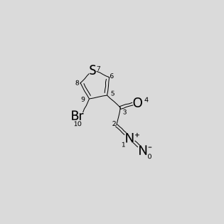 [N-]=[N+]=CC(=O)c1cscc1Br